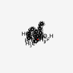 Cc1ccc(C)c(Sc2c(C)c(C)c(-c3ccccc3C(=O)O)c(-c3ccccc3C(=O)O)c2C)c1C.O=C(O)c1ccccc1-c1ccc(Sc2cc[c]cc2)cc1.[c]1ccc(Sc2cc[c]cc2)cc1